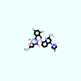 Cc1cc(-n2cc(F)cn2)c2cccc(OCc3c(Cl)cc(F)cc3[C@H](C)NC(=O)c3cc(C)on3)c2n1